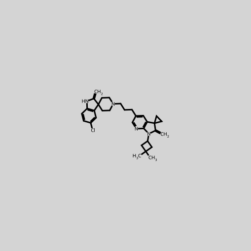 C=C1Nc2ccc(Cl)cc2C12CCN(CCCc1cnc3c(c1)C1(CC1)C(=C)N3C1CC(C)(C)C1)CC2